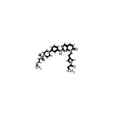 C=CC(=O)N1CC(CCn2c(=O)ccc3cnc(Nc4cccc(N5CCN(S(=O)(=O)CCOC)CC5)c4)nc32)C1